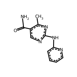 Cc1nc(Nc2ccccn2)ncc1C(N)=O